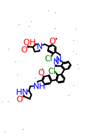 COc1cc(-c2cccc(-c3cccc4c3cnn4Cc3cc(OC)c(CN4CCC(C(=O)O)C4)cc3Cl)c2Cl)ccc1CNCC1CCC(=O)N1